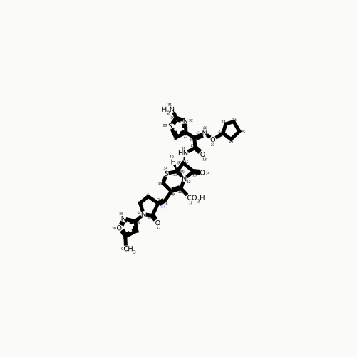 Cc1cc(N2CC/C(=C\C3=C(C(=O)O)N4C(=O)[C@@H](NC(=O)/C(=N\OC5CCCC5)c5csc(N)n5)[C@H]4SC3)C2=O)no1